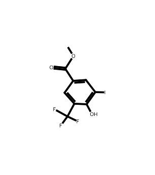 COC(=O)c1cc(I)c(O)c(C(F)(F)F)c1